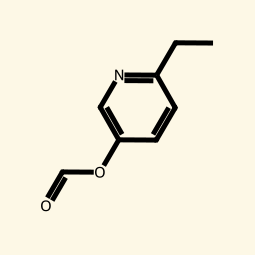 CCc1ccc(OC=O)cn1